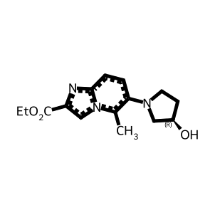 CCOC(=O)c1cn2c(C)c(N3CC[C@@H](O)C3)ccc2n1